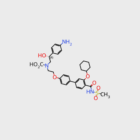 CS(=O)(=O)NC(=O)c1ccc(-c2ccc(OCCN(C[C@H](O)c3ccc(N)cc3)C(=O)O)cc2)cc1OC1CCCCC1